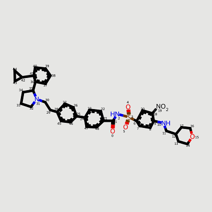 O=C(NS(=O)(=O)c1ccc(NCC2CCOCC2)c([N+](=O)[O-])c1)c1ccc(-c2ccc(CCN3CCCC3c3ccccc3C3CC3)cc2)cc1